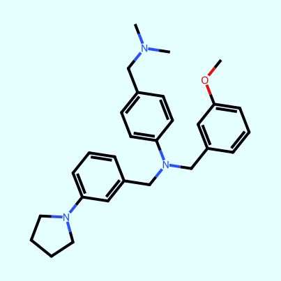 COc1cccc(CN(Cc2cccc(N3CCCC3)c2)c2ccc(CN(C)C)cc2)c1